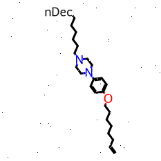 C=CCCCCCCOc1ccc(N2CCN(CCCCCCCCCCCCCCCC)CC2)cc1